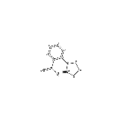 O=C(Cl)c1ccccc1C1CCCN1